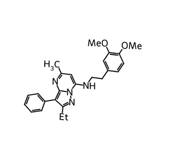 CCc1nn2c(NCCc3ccc(OC)c(OC)c3)cc(C)nc2c1-c1ccccc1